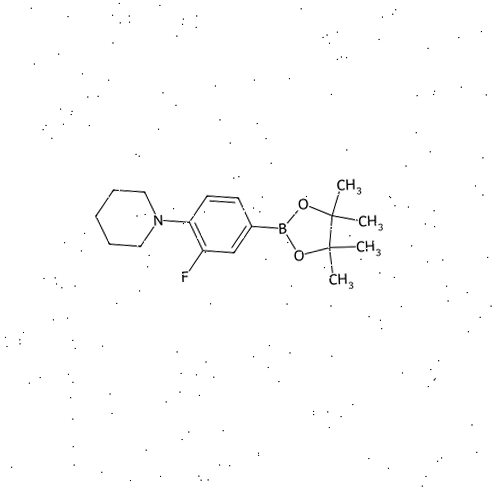 CC1(C)OB(c2ccc(N3CCCCC3)c(F)c2)OC1(C)C